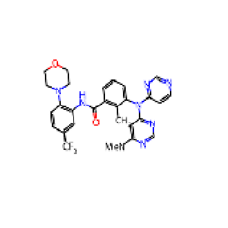 CNc1cc(N(c2ccncn2)c2cccc(C(=O)Nc3cc(C(F)(F)F)ccc3N3CCOCC3)c2C)ncn1